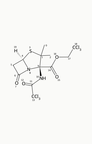 CC1(C)S[C@@H]2CC(=O)N2[C@@]1(NC(=O)C(Cl)(Cl)Cl)C(=O)OCC(Cl)(Cl)Cl